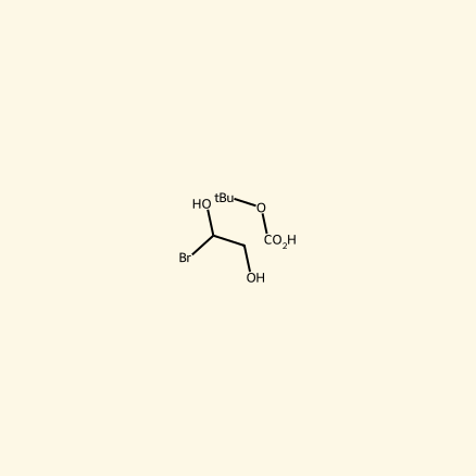 CC(C)(C)OC(=O)O.OCC(O)Br